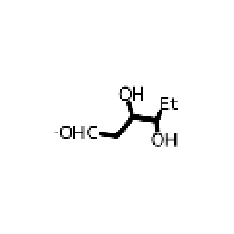 CCC(O)C(O)C[C]=O